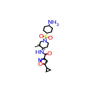 C[C@H]1CN(S(=O)(=O)[C@H]2CC[C@H](N)CC2)CC[C@H]1NC(=O)c1cc(C2CC2)on1